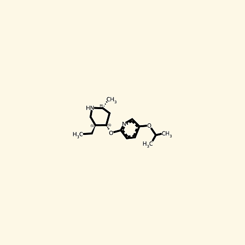 CC[C@H]1CN[C@H](C)C[C@@H]1Oc1ccc(OC(C)C)cn1